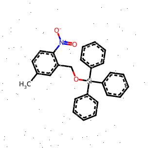 Cc1ccc([N+](=O)[O-])c(CO[Si](c2ccccc2)(c2ccccc2)c2ccccc2)c1